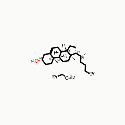 CC(C)CCC[C@@H](C)[C@H]1CC[C@H]2[C@@H]3CC=C4C[C@@H](O)CC[C@]4(C)[C@H]3CC[C@]12C.CC(C)COCC(C)C